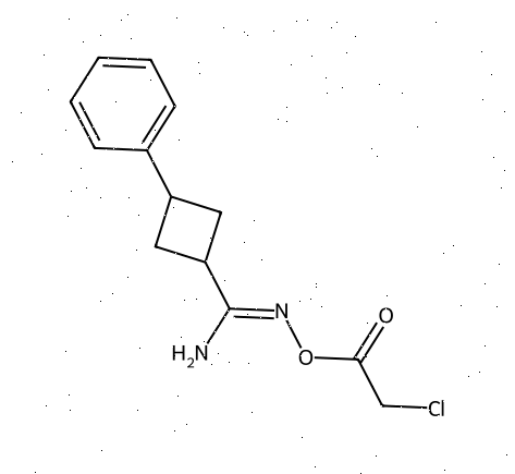 N/C(=N\OC(=O)CCl)C1CC(c2ccccc2)C1